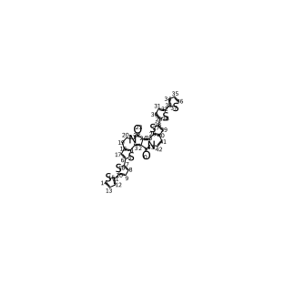 O=C1C2=C3c4sc(-c5ccc(-c6cccs6)s5)cc4CCN3C(=O)C2=C2c3sc(-c4ccc(-c5cccs5)s4)cc3C=CN12